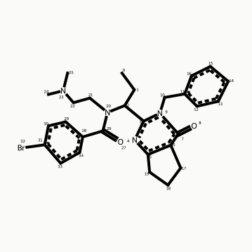 CCC(c1nc2c(c(=O)n1Cc1ccccc1)CCC2)N(CCN(C)C)C(=O)c1ccc(Br)cc1